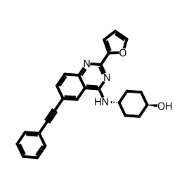 O[C@H]1CC[C@H](Nc2nc(-c3ccco3)nc3ccc(C#Cc4ccccc4)cc23)CC1